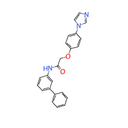 O=C(COc1ccc(-n2ccnc2)cc1)Nc1cccc(-c2ccccc2)c1